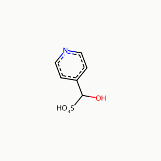 O=S(=O)(O)C(O)c1ccncc1